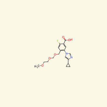 COCCOCOCc1cc(F)c(C(=O)O)cc1-n1cnc(C2CC2)c1